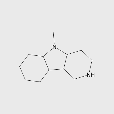 CN1C2CCCCC2C2CNCCC21